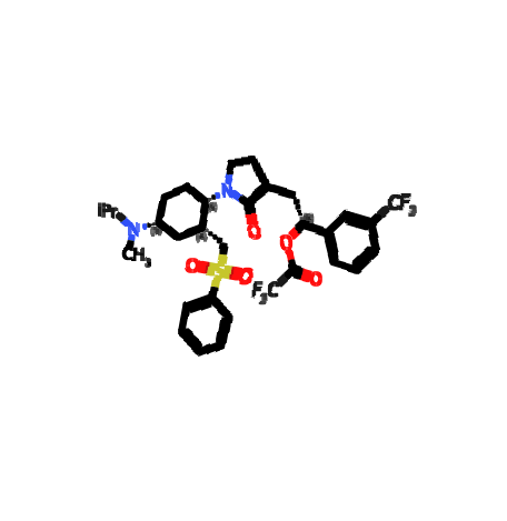 CC(C)N(C)[C@@H]1CC[C@H](N2CCC(C[C@@H](OC(=O)C(F)(F)F)c3cccc(C(F)(F)F)c3)C2=O)[C@H](CS(=O)(=O)c2ccccc2)C1